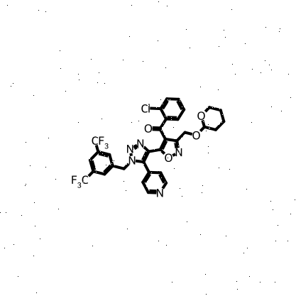 O=C(c1ccccc1Cl)c1c(COC2CCCCO2)noc1-c1nnn(Cc2cc(C(F)(F)F)cc(C(F)(F)F)c2)c1-c1ccncc1